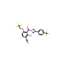 N#Cc1ccc(OCC(F)(F)F)c(C(=O)N2CC(c3ccc(C(F)(F)F)cc3)C2)c1Cl